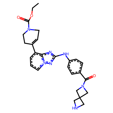 CCOC(=O)N1CC=C(c2cccn3nc(Nc4ccc(C(=O)N5CC6(CNC6)C5)cc4)nc23)CC1